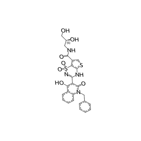 O=C(NC[C@H](O)CO)c1csc2c1S(=O)(=O)N=C(c1c(O)c3ccccc3n(Cc3ccccc3)c1=O)N2